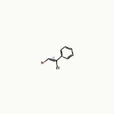 CC/C(=C\Br)c1ccccc1